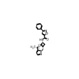 C[C@H](O)c1ccnn1C[C@H]1C[C@@H](NC(=O)c2cc(-c3ccccc3)no2)C1